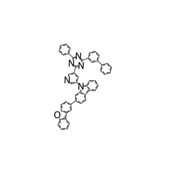 c1ccc(-c2cccc(-c3nc(-c4ccccc4)nc(-c4cncc(-n5c6ccccc6c6ccc(-c7ccc8oc9ccccc9c8c7)cc65)c4)n3)c2)cc1